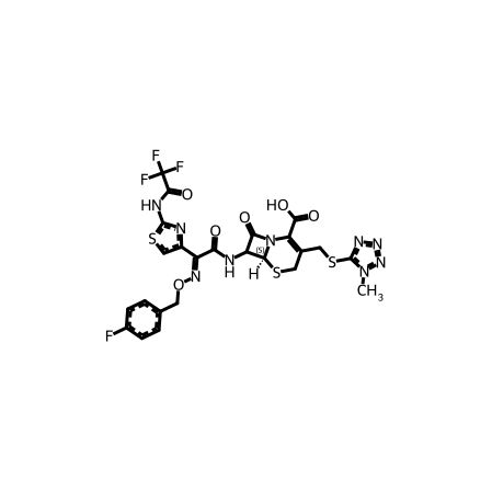 Cn1nnnc1SCC1=C(C(=O)O)N2C(=O)C(NC(=O)C(=NOCc3ccc(F)cc3)c3csc(NC(=O)C(F)(F)F)n3)[C@@H]2SC1